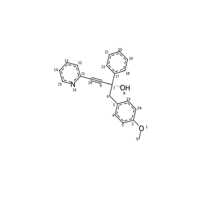 COc1ccc(C[C@@](O)(C#Cc2ccccn2)c2ccccc2)cc1